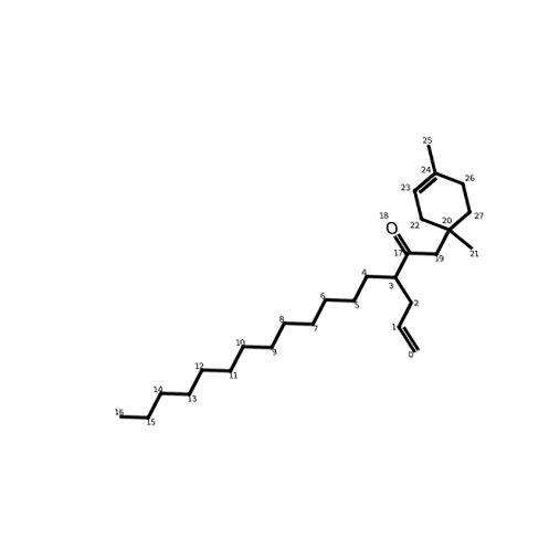 C=CCC(CCCCCCCCCCCCC)C(=O)CC1(C)CC=C(C)CC1